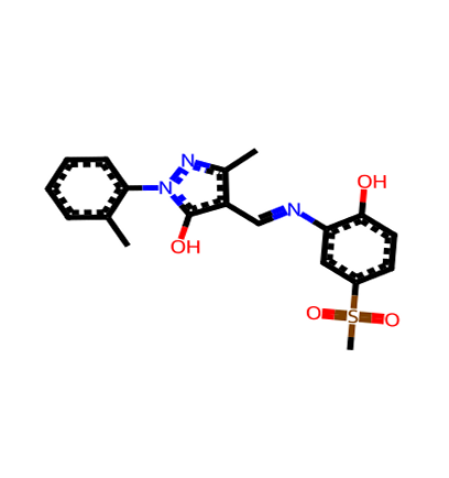 Cc1ccccc1-n1nc(C)c(/C=N/c2cc(S(C)(=O)=O)ccc2O)c1O